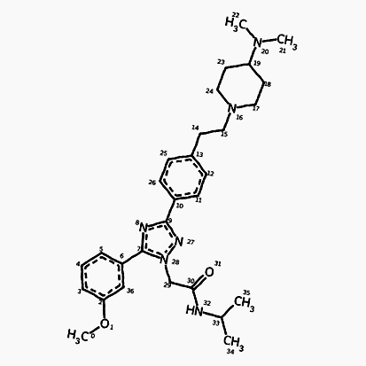 COc1cccc(-c2nc(-c3ccc(CCN4CCC(N(C)C)CC4)cc3)nn2CC(=O)NC(C)C)c1